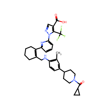 Cc1cc(C2CCN(C(=O)C3CC3)CC2)ccc1NCC1=C(c2cccc(-n3ncc(C(=O)O)c3C(F)(F)F)n2)CCCC1